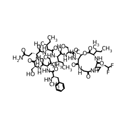 CC[C@H](C)[C@H](NC(=O)[C@@H](Cc1ccccc1)NC)C(=O)N[C@@H](CO)C(=O)N[C@H](CCC(N)=O)C(=O)N[C@@H](C(=O)N[C@H](C(=O)N[C@@H](CO)C(=O)N[C@H]1C(=O)NCC(=O)N[C@@]2(C[C@H]2CC(F)F)C(=O)N[C@@H]([C@@H](C)CC)C(=O)O[C@H]1C)[C@@H](C)CC)[C@@H](C)CC